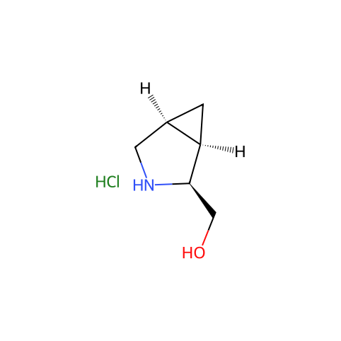 Cl.OC[C@H]1NC[C@H]2C[C@H]21